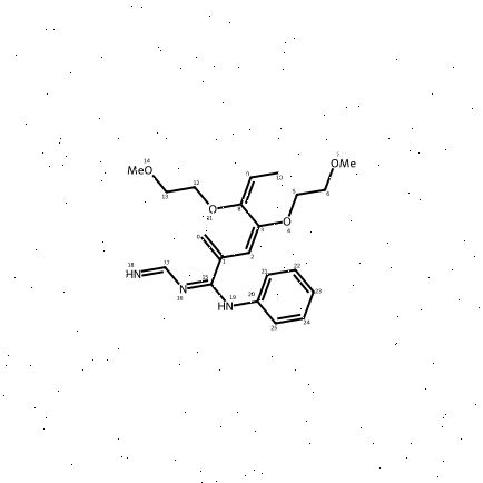 C=C(/C=C(OCCOC)\C(=C/C)OCCOC)/C(=N\C=N)Nc1ccccc1